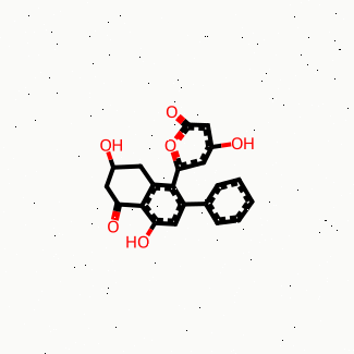 O=C1CC(O)Cc2c1c(O)cc(-c1ccccc1)c2-c1cc(O)cc(=O)o1